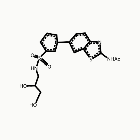 CC(=O)Nc1nc2ccc(-c3cccc(S(=O)(=O)NCC(O)CO)c3)cc2s1